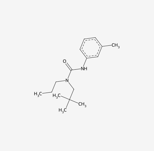 CCCN(CC(C)(C)C)C(=O)Nc1cccc(C)c1